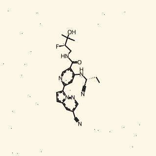 CC[C@H](C#N)Nc1cc(-c2ccc3cc(C#N)cnn23)ncc1C(=O)NC[C@@H](F)C(C)(C)O